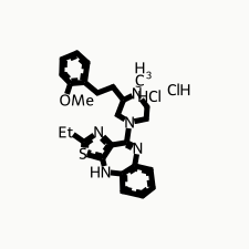 CCc1nc2c(s1)Nc1ccccc1N=C2N1CCN(C)C(CCc2ccccc2OC)C1.Cl.Cl